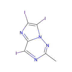 Cc1nc(I)c2nc(I)c(I)n2n1